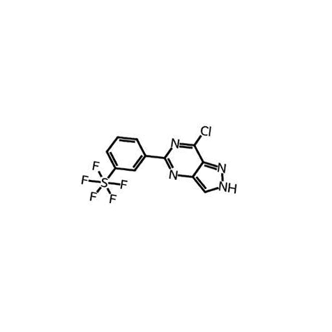 FS(F)(F)(F)(F)c1cccc(-c2nc(Cl)c3n[nH]cc3n2)c1